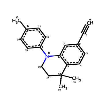 C#Cc1ccc2c(c1)N(c1ccc(C)cc1)CCC2(C)C